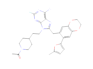 CC(=O)N1CCC(CCn2c(Cc3cc4c(cc3-c3ccc(C)o3)OCCO4)nc3c(N)nc(F)nc32)CC1